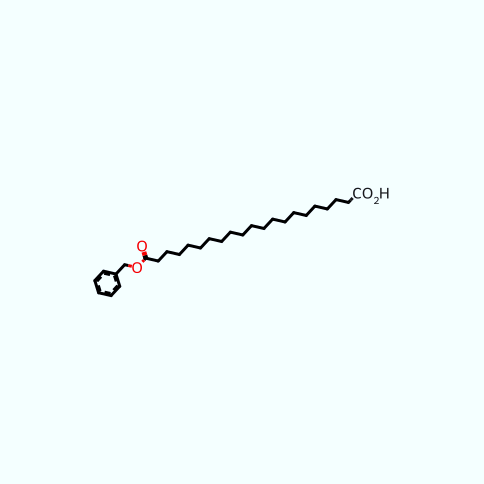 O=C(O)CCCCCCCCCCCCCCCCCCCC(=O)OCc1ccccc1